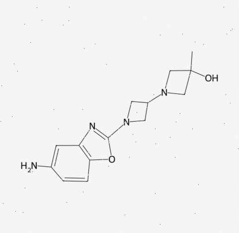 CC1(O)CN(C2CN(c3nc4cc(N)ccc4o3)C2)C1